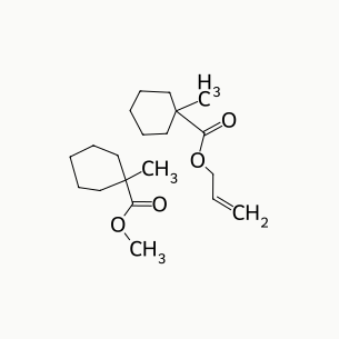 C=CCOC(=O)C1(C)CCCCC1.COC(=O)C1(C)CCCCC1